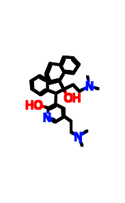 CN(C)CCc1cnc(O)c(C(c2ccccc2)C(O)(CCN(C)C)C2=C=C=Cc3ccccc32)c1